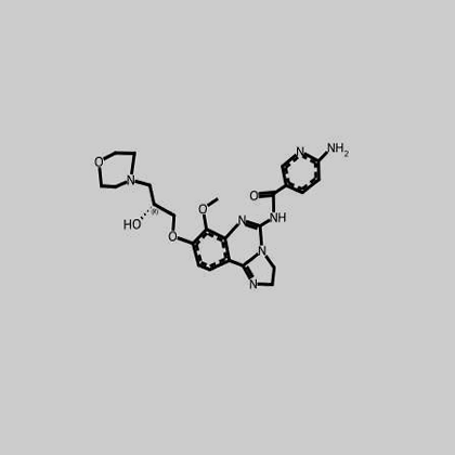 COc1c(OC[C@H](O)CN2CCOCC2)ccc2c1N=C(NC(=O)c1ccc(N)nc1)N1CCN=C21